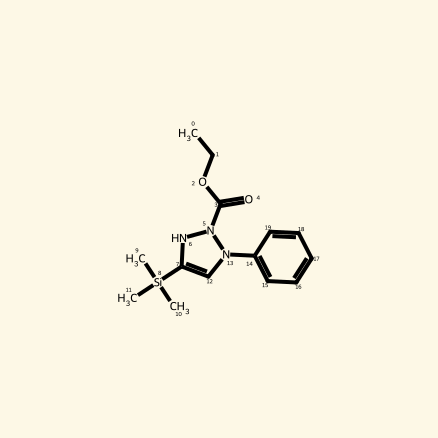 CCOC(=O)N1NC([Si](C)(C)C)=CN1c1ccccc1